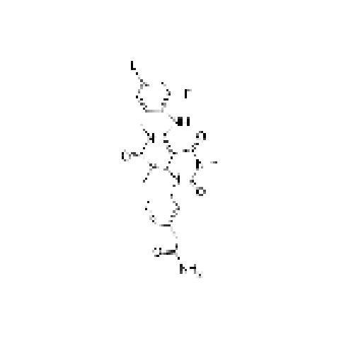 Cc1c(=O)n(C)c(Nc2ccc(I)cc2F)c2c(=O)n(C)c(=O)n(-c3cccc(CC(N)=O)c3)c12